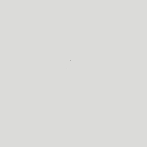 CCCC1(C)NN1